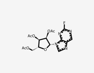 CC(=O)OC[C@H]1O[C@@H](n2cnc3cnc(F)nc32)[C@H](OC(C)=O)[C@@H]1OC(C)=O